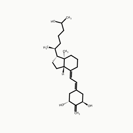 C=C1[C@H](O)CC(=C/C=C2\CCC[C@]3(C)[C@@H]([C@@H](C)CCCC(C)O)CC[C@@H]23)C[C@H]1O